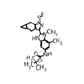 Cc1cc(NC(=O)OC(C)(C)C)cc2c1N(C)C(c1nn(SF)c3c1CC1CC1C3)N2